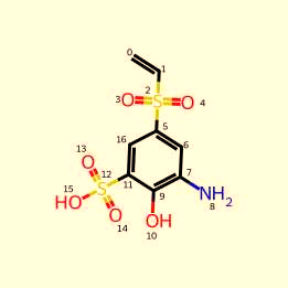 C=CS(=O)(=O)c1cc(N)c(O)c(S(=O)(=O)O)c1